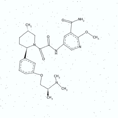 COc1ncc(NC(=O)C(=O)N2C[C@@H](C)CC[C@@H]2c2cccc(OC[C@H](C)N(C)C)c2)cc1C(N)=O